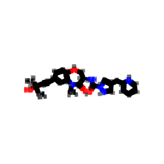 CN1C(=O)[C@H](NC(=O)n2cc(Cc3ccccn3)cn2)COc2ccc(C#CC(C)(C)O)cc21